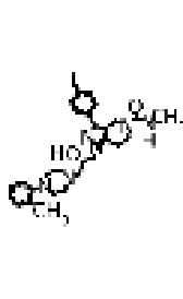 CNC(=O)N1CCc2c(c(-c3ccc(I)cc3)nn2CC(O)CN2CCN(c3ccccc3C)CC2)C1